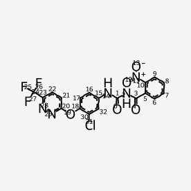 O=C(NC(=O)c1ccccc1[N+](=O)[O-])Nc1ccc(Oc2ccc(C(F)(F)F)nn2)c(Cl)c1